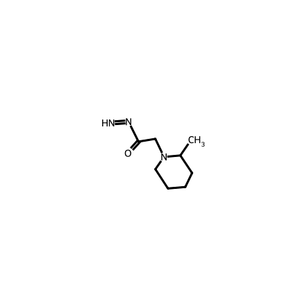 CC1CCCCN1CC(=O)N=N